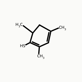 CC1=CC(C)=C(S)C(C)C1